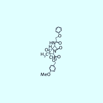 COc1ccc(COC(=O)C2N3C(=O)C(NC(=O)COc4ccccc4)[C@@H]3[S+]([O-])C2(C)C)cc1